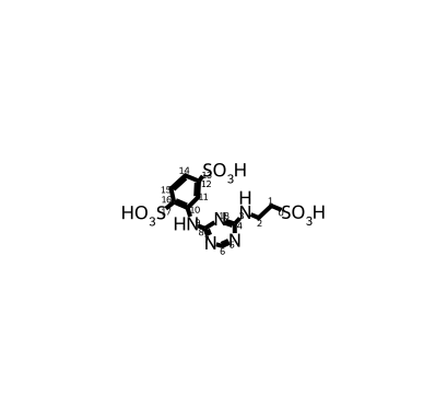 O=S(=O)(O)CCNc1ncnc(Nc2cc(S(=O)(=O)O)ccc2S(=O)(=O)O)n1